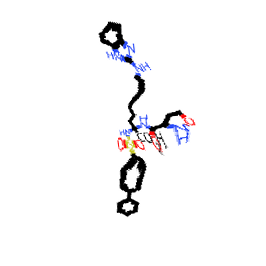 O=C(NC(CCCCCNc1nc2ccccc2[nH]1)(NS(=O)(=O)c1ccc(-c2ccccc2)cc1)C(=O)O)C1CCON1